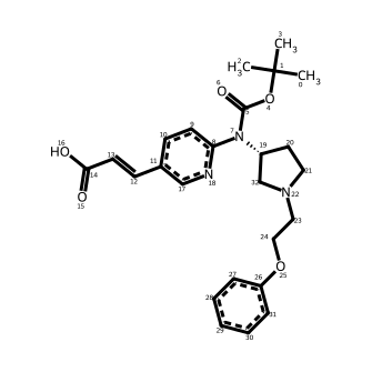 CC(C)(C)OC(=O)N(c1ccc(C=CC(=O)O)cn1)[C@@H]1CCN(CCOc2ccccc2)C1